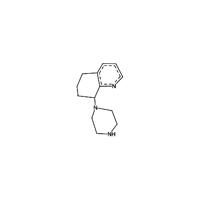 c1cnc2c(c1)CCCC2N1CCNCC1